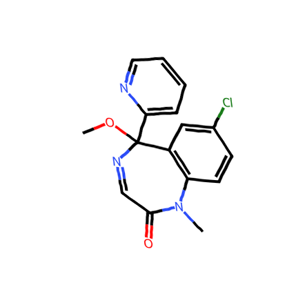 COC1(c2ccccn2)N=CC(=O)N(C)c2ccc(Cl)cc21